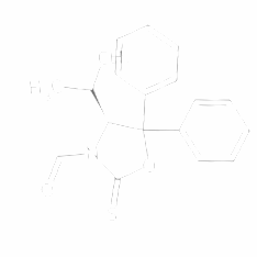 CC(C)[C@@H]1N(C=O)C(=S)OC1(c1ccccc1)c1ccccc1